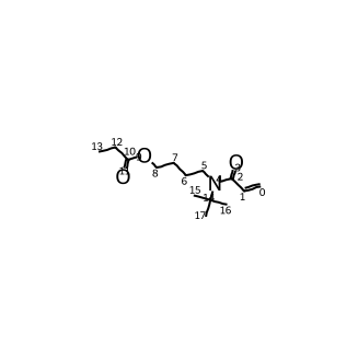 C=CC(=O)N(CCCCOC(=O)CC)C(C)(C)C